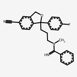 CN(CCCC1(c2ccc(F)cc2)OCc2cc(C#N)ccc21)C(=N)c1ccccc1